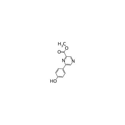 COC(=O)c1cncc(-c2ccc(O)cc2)n1